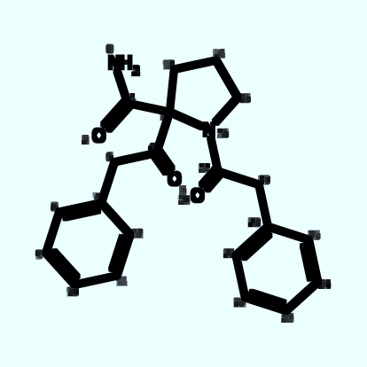 NC(=O)C1(C(=O)Cc2ccccc2)CCCN1C(=O)Cc1ccccc1